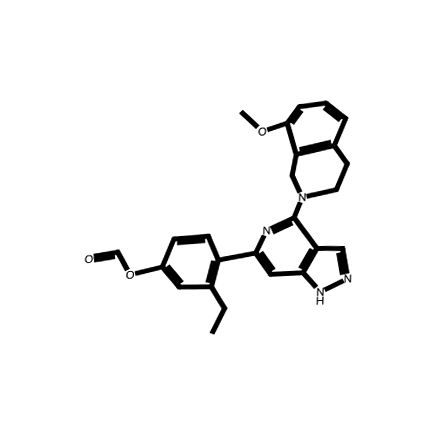 CCc1cc(OC=O)ccc1-c1cc2[nH]ncc2c(N2CCc3cccc(OC)c3C2)n1